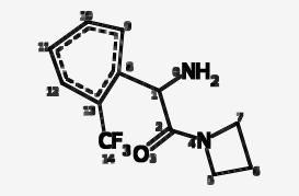 NC(C(=O)N1CCC1)c1ccccc1C(F)(F)F